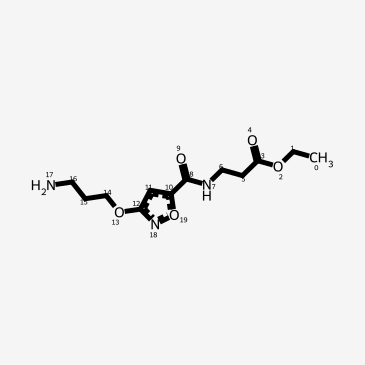 CCOC(=O)CCNC(=O)c1cc(OCCCN)no1